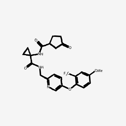 COc1ccc(Oc2ccc(CNC(=O)C3(NC(=O)C4CCC(=O)C4)CC3)nc2)c(C(F)(F)F)c1